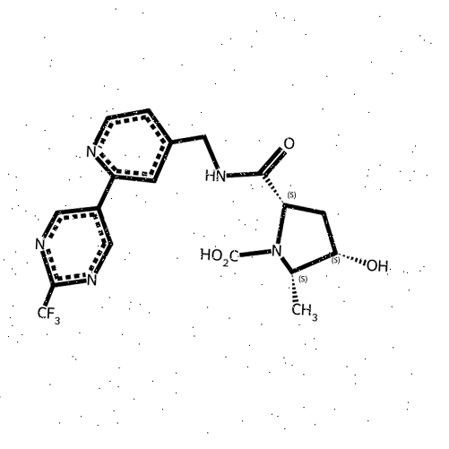 C[C@H]1[C@@H](O)C[C@@H](C(=O)NCc2ccnc(-c3cnc(C(F)(F)F)nc3)c2)N1C(=O)O